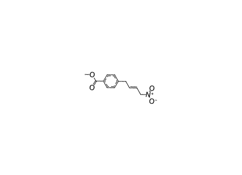 COC(=O)c1ccc(CC=CC[N+](=O)[O-])cc1